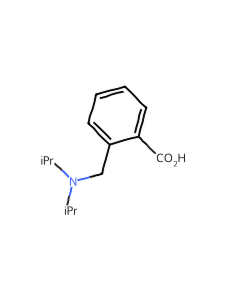 CC(C)N(Cc1ccccc1C(=O)O)C(C)C